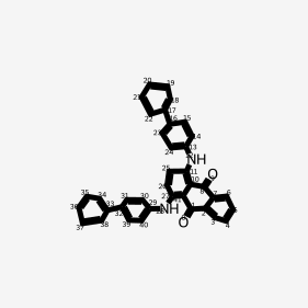 O=C1c2ccccc2C(=O)c2c(Nc3ccc(-c4ccccc4)cc3)ccc(Nc3ccc(-c4ccccc4)cc3)c21